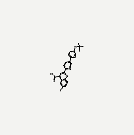 CC(C)(C)Oc1ccc(-c2ccc(-c3cc(C(=O)O)c4cc(F)ccc4n3)nc2)cc1